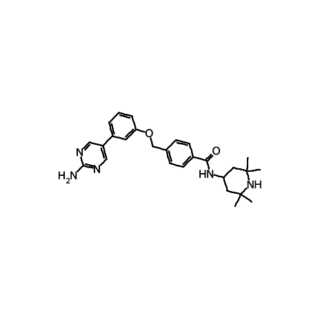 CC1(C)CC(NC(=O)c2ccc(COc3cccc(-c4cnc(N)nc4)c3)cc2)CC(C)(C)N1